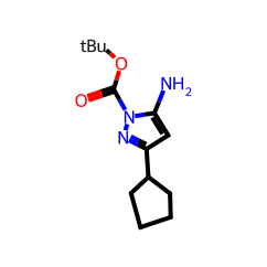 CC(C)(C)OC(=O)n1nc(C2CCCC2)cc1N